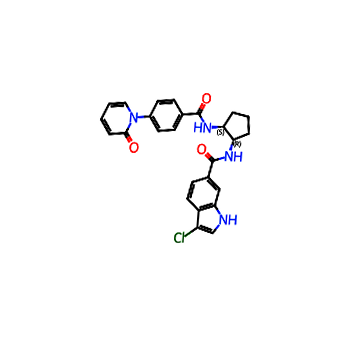 O=C(N[C@H]1CCC[C@H]1NC(=O)c1ccc2c(Cl)c[nH]c2c1)c1ccc(-n2ccccc2=O)cc1